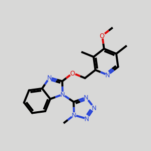 COc1c(C)cnc(COc2nc3ccccc3n2-c2nnnn2C)c1C